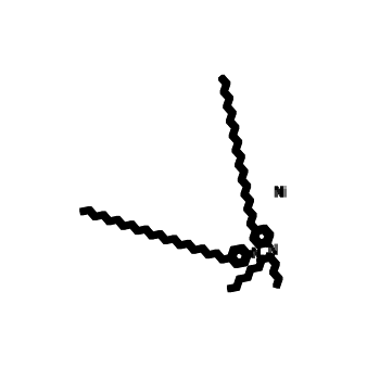 CCCCCCCCCCCCCCCCCCCCCc1ccc(N=C(CCCC)C(CCCCCC)=Nc2ccc(CCCCCCCCCCCCCCCCCCCCC)cc2)cc1.[Ni]